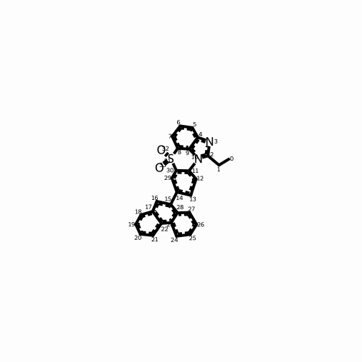 CCc1nc2cccc3c2n1-c1ccc(-c2cc4ccccc4c4ccccc24)cc1S3(=O)=O